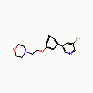 Brc1cncc(-c2cccc(OCCN3CCOCC3)c2)c1